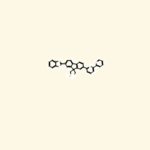 CCC1(CC)c2cc(-c3cccc(-c4ccccn4)n3)ccc2-c2ccc(-c3nc4ccccc4s3)cc21